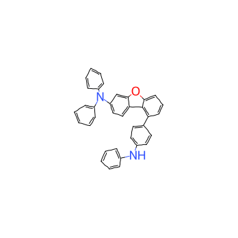 c1ccc(Nc2ccc(-c3cccc4oc5cc(N(c6ccccc6)c6ccccc6)ccc5c34)cc2)cc1